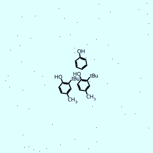 Cc1ccc(O)c(C(C)(C)C)c1.Cc1ccc(O)c(C(C)(C)C)c1.Oc1ccccc1